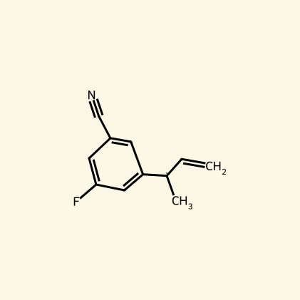 C=C[C](C)c1cc(F)cc(C#N)c1